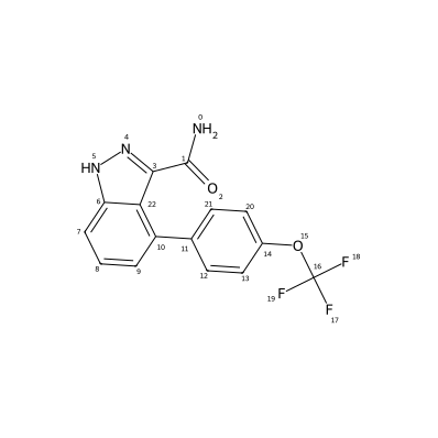 NC(=O)c1n[nH]c2cccc(-c3ccc(OC(F)(F)F)cc3)c12